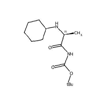 C[C@H](NC1CCCCC1)C(=O)NC(=O)OC(C)(C)C